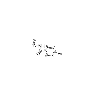 [CH]=NNC(=O)c1ccc(F)cc1